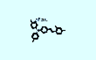 CCCCCc1cc(N(c2ccc(C)cc2)c2ccc(C=Cc3ccc(C)cc3C)cc2)ccc1C